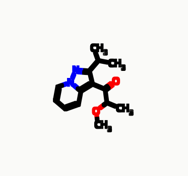 COC(C)C(=O)c1c(C(C)C)nn2ccccc12